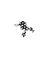 Cc1nc(COc2nc(N3CC[C@H](N(C)C)C3)nc3c(F)c(-c4c(F)ccc5sc(N)c(C#N)c45)c4c(c23)COC4)no1